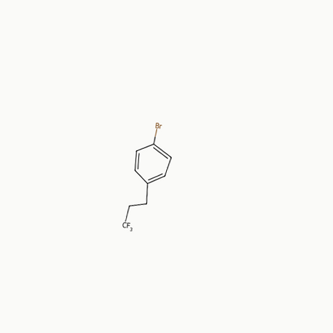 FC(F)(F)CCc1ccc(Br)cc1